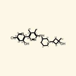 Cc1c(NC2CCCN(C3CC(C)(O)C3)C2)nnc(-c2ncc(Cl)cc2O)c1C